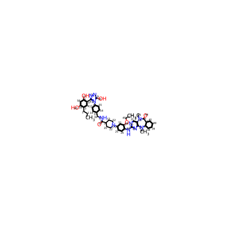 CCCc1cc(-c2nnc(O)n2-c2ccc(CNC(=O)C3CCN(c4ccc(Nc5ncc6c(n5)N(C)c5ccccc5C(=O)N6C)c(OCC)c4)CC3)cc2)c(O)cc1O